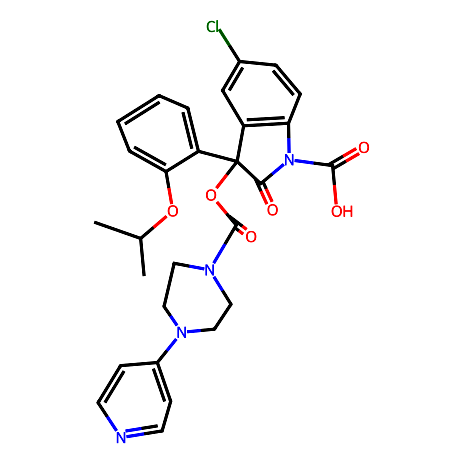 CC(C)Oc1ccccc1C1(OC(=O)N2CCN(c3ccncc3)CC2)C(=O)N(C(=O)O)c2ccc(Cl)cc21